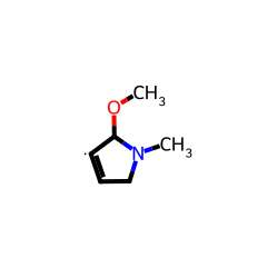 COC1[C]=CCN1C